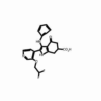 O=C1CC(C(=O)O)Cc2[nH]c(-c3ccncc3OCC(F)F)c(Nc3ccccc3)c21